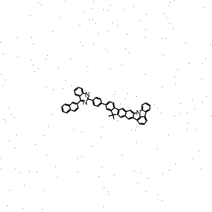 CC1(C)c2cc(-c3ccc(-c4nc(-c5ccc6ccccc6c5)c5ccccc5n4)cc3)ccc2-c2cc3cc4c(cc3cc21)c1cccc2c3ccccc3n4c21